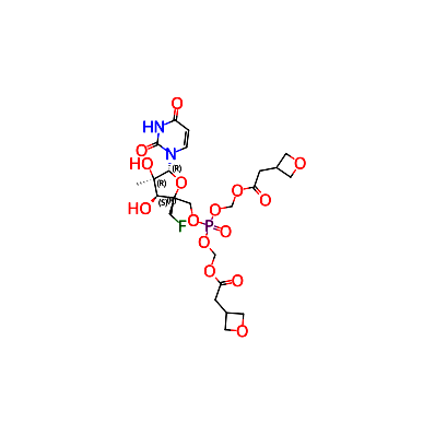 C[C@@]1(O)[C@H](O)[C@@](CF)(COP(=O)(OCOC(=O)CC2COC2)OCOC(=O)CC2COC2)O[C@H]1n1ccc(=O)[nH]c1=O